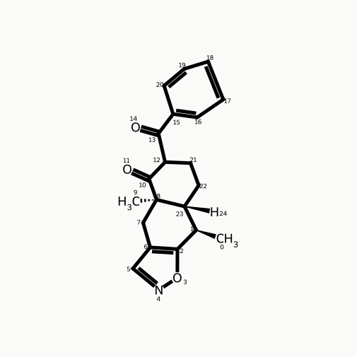 C[C@H]1c2oncc2C[C@@]2(C)C(=O)C(C(=O)c3ccccc3)CC[C@H]12